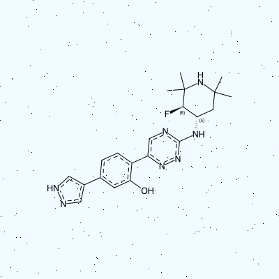 CC1(C)C[C@H](Nc2ncc(-c3ccc(-c4cn[nH]c4)cc3O)nn2)[C@@H](F)C(C)(C)N1